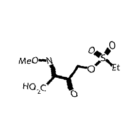 CCS(=O)(=O)OCC(=O)C(=NOC)C(=O)O